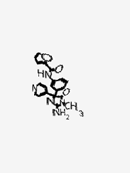 CN1C(=O)C(c2ccncc2)(c2cccc(NC(=O)c3ccco3)c2)N=C1N